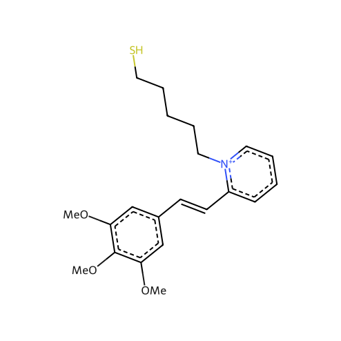 COc1cc(/C=C/c2cccc[n+]2CCCCCS)cc(OC)c1OC